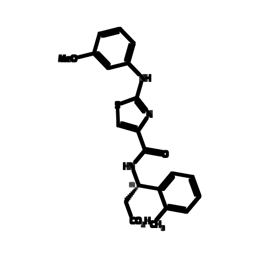 COc1cccc(Nc2nc(C(=O)N[C@@H](CC(=O)O)c3ccccc3C)cs2)c1